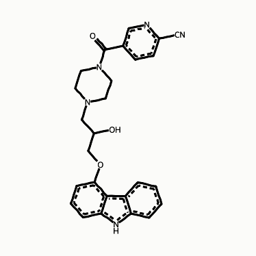 N#Cc1ccc(C(=O)N2CCN(CC(O)COc3cccc4[nH]c5ccccc5c34)CC2)cn1